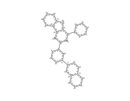 c1ccc(-c2nc(-c3cccc(-c4ccc5ccccc5c4)c3)nc3c2oc2ccccc23)cc1